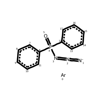 [Ar].[N-]=[N+]=NP(=O)(c1ccccc1)c1ccccc1